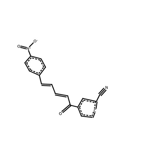 N#Cc1cccc(C(=O)C=CC=Cc2ccc([N+](=O)[O-])cc2)c1